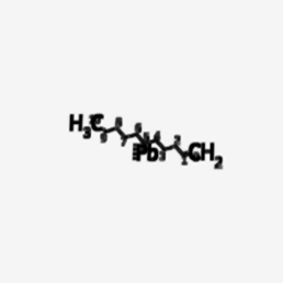 C=CCCCCCCCCC.[Pb]